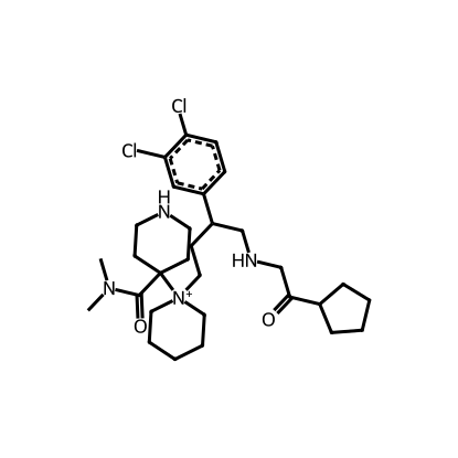 CN(C)C(=O)C1([N+]2(CCC(CNCC(=O)C3CCCC3)c3ccc(Cl)c(Cl)c3)CCCCC2)CCNCC1